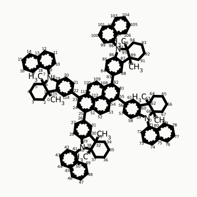 CC12CCCCC1(C)N(c1cccc3ccccc13)c1ccc(-c3cc(-c4ccc5c(c4)C4(C)CCCCC4(C)N5c4cccc5ccccc45)c4ccc5c(-c6ccc7c(c6)C6(C)CCCCC6(C)N7c6cccc7ccccc67)cc(-c6ccc7c(c6)C6(C)CCCCC6(C)N7c6cccc7ccccc67)c6ccc3c4c65)cc12